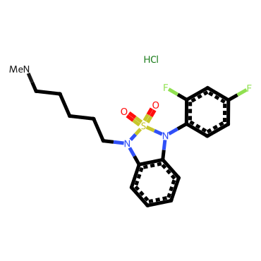 CNCCCCCN1c2ccccc2N(c2ccc(F)cc2F)S1(=O)=O.Cl